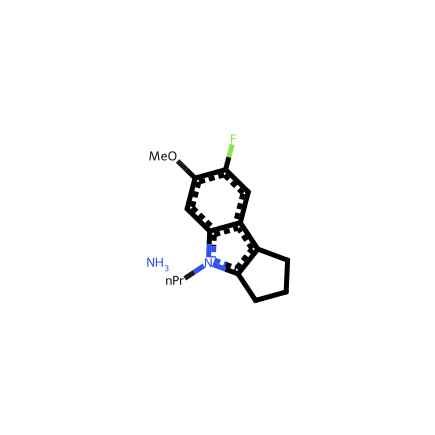 CCCn1c2c(c3cc(F)c(OC)cc31)CCC2.N